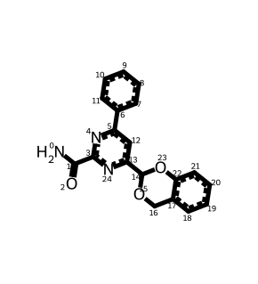 NC(=O)c1nc(-c2ccccc2)cc(C2OCc3ccccc3O2)n1